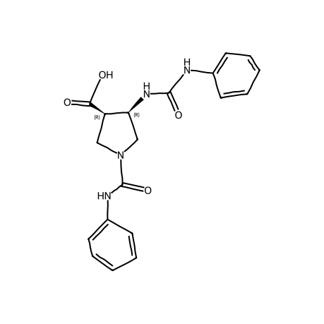 O=C(Nc1ccccc1)N[C@H]1CN(C(=O)Nc2ccccc2)C[C@H]1C(=O)O